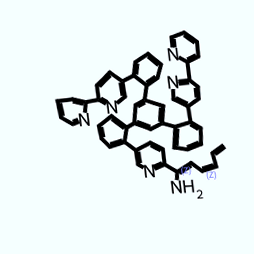 C=C/C=C\C=C(/N)c1ccc(-c2ccccc2-c2cc(-c3ccccc3-c3ccc(-c4ccccn4)nc3)cc(-c3ccccc3-c3ccc(-c4ccccn4)nc3)c2)cn1